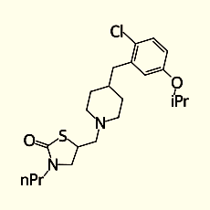 CCCN1CC(CN2CCC(Cc3cc(OC(C)C)ccc3Cl)CC2)SC1=O